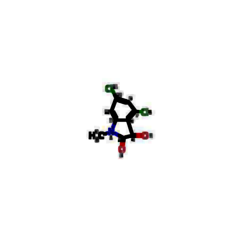 CN1C(=O)C(=O)c2c(Cl)cc(Cl)cc21